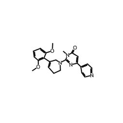 COc1cccc(OC)c1C1=CCCN(c2nc(-c3ccncc3)cc(=O)n2C)C1